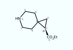 CCOC(=O)[C@@H]1CC12CCNCC2